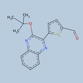 CC(C)(C)Oc1nc2ccccc2nc1-c1ccc(C=O)s1